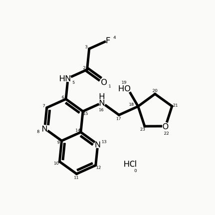 Cl.O=C(CF)Nc1cnc2cccnc2c1NCC1(O)CCOC1